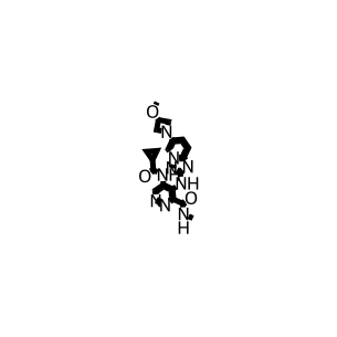 CNC(=O)c1nncc(NC(=O)C2CC2)c1Nc1nc2ccc(N3CC(OC)C3)cn2n1